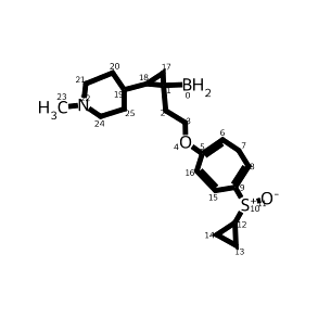 BC1(CCOC2=CCC=C([S+]([O-])C3CC3)C=C2)CC1C1CCN(C)CC1